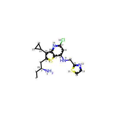 CC[C@H](N)Cc1sc2c(NCc3nccs3)cc(Cl)nc2c1C1CC1